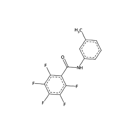 Cc1cccc(NC(=O)c2c(F)c(F)c(F)c(F)c2F)c1